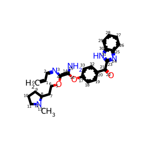 C=C/C=N\C(OCCC1CCCN1C)=C(/N)Oc1ccc(C(=O)c2nc3ccccc3[nH]2)cc1